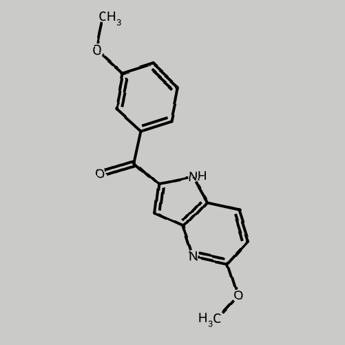 COc1cccc(C(=O)c2cc3nc(OC)ccc3[nH]2)c1